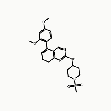 COc1ccc(C2=CCCc3nc(NC4CCN(S(C)(=O)=O)CC4)ncc32)c(OC)c1